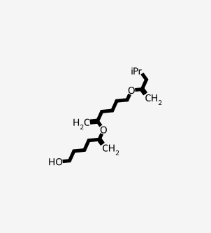 C=C(CC(C)C)OCCCCC(=C)OC(=C)CCCCO